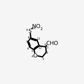 O=CC1CCOc2ccc(S[N+](=O)[O-])cc21